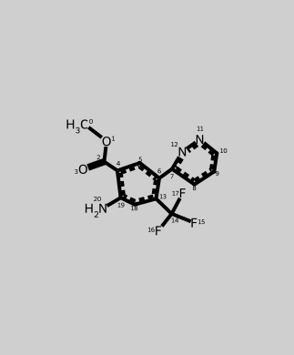 COC(=O)c1cc(-c2cccnn2)c(C(F)(F)F)cc1N